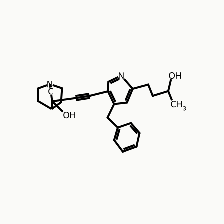 CC(O)CCc1cc(Cc2ccccc2)c(C#CC2(O)CN3CCC2CC3)cn1